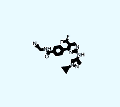 N#CCNC(=O)c1ccc(-c2nc(Nc3cnn(C4CC4)c3)ncc2C(F)F)cc1